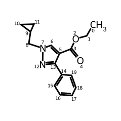 CCOC(=O)c1cn(CC2CC2)nc1-c1ccccc1